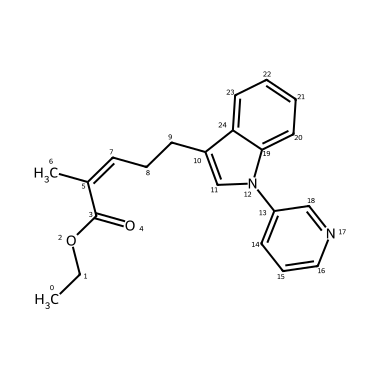 CCOC(=O)C(C)=CCCc1cn(-c2cccnc2)c2ccccc12